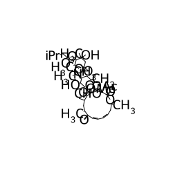 COC1C(OC(C)=O)CC(=O)OC(C)C/C=C\C=C/C(=O)C(C)CC(CC=O)C1OC1OC(C)C(OC2CC(C)(O)C(OC(=O)CC(C)C)C(C)O2)C(N(C)C)C1O